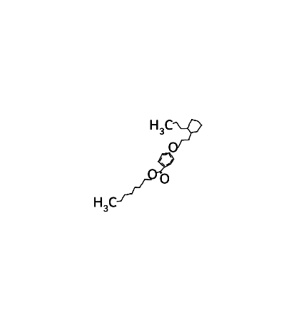 CCCCCCCCOC(=O)c1ccc(OCCCC2CCCCC2CCC)cc1